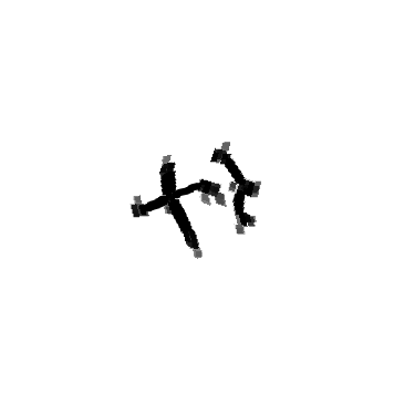 CC(C)NC(C)C.CCS(N)(=O)=O